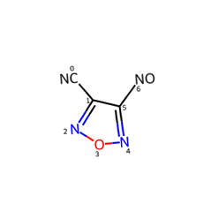 N#Cc1nonc1N=O